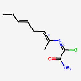 C=CC=CC/C=C(C)/N=C(/Cl)C(N)=O